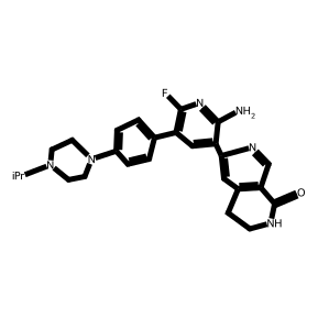 CC(C)N1CCN(c2ccc(-c3cc(-c4cc5c(cn4)C(=O)NCC5)c(N)nc3F)cc2)CC1